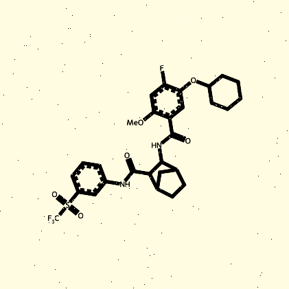 COc1cc(F)c(OC2CCCCC2)cc1C(=O)NC1C2CCC(C2)C1C(=O)Nc1cccc(S(=O)(=O)C(F)(F)F)c1